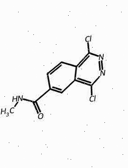 CNC(=O)c1ccc2c(Cl)nnc(Cl)c2c1